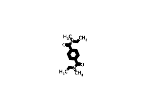 CCN(C)C(=O)c1ccc(C(=O)N(C)CC)cc1